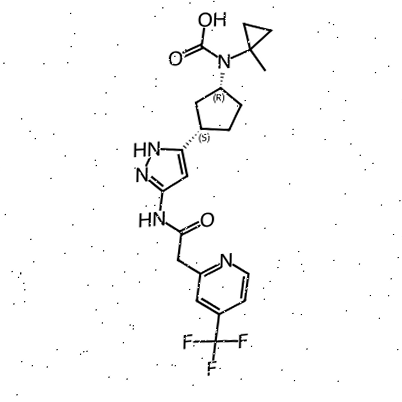 CC1(N(C(=O)O)[C@@H]2CC[C@H](c3cc(NC(=O)Cc4cc(C(F)(F)F)ccn4)n[nH]3)C2)CC1